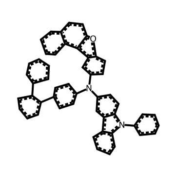 c1ccc(-c2ccccc2-c2ccc(N(c3ccc4oc5ccc6ccccc6c5c4c3)c3ccc4c(c3)c3ccccc3n4-c3ccccc3)cc2)cc1